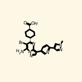 Cn1cc(-c2ccc(-c3cnn4c(N)c(Br)c([C@H]5CC[C@H](C(=O)O)CC5)nc34)cn2)cn1